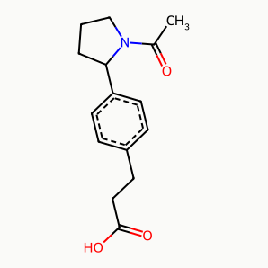 CC(=O)N1CCCC1c1ccc(CCC(=O)O)cc1